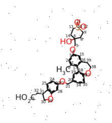 Cc1cc(OCC2(O)CCS(=O)(=O)CC2)cc2c1-c1cc(COc3ccc4c(c3)OC[C@H]4CC(=O)O)ccc1OCC2